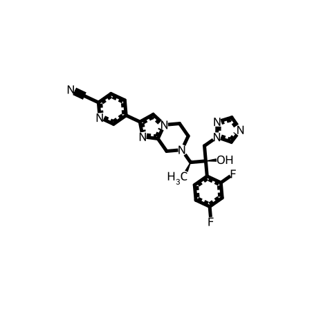 C[C@@H](N1CCn2cc(-c3ccc(C#N)nc3)nc2C1)[C@](O)(Cn1cncn1)c1ccc(F)cc1F